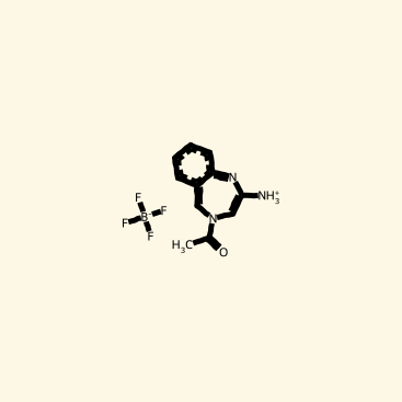 CC(=O)N1C=C([NH3+])N=c2ccccc2=C1.F[B-](F)(F)F